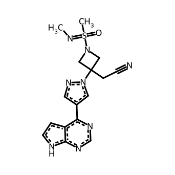 CN=S(C)(=O)N1CC(CC#N)(n2cc(-c3ncnc4[nH]ccc34)cn2)C1